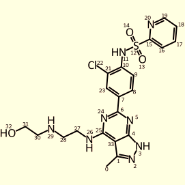 Cc1n[nH]c2nc(-c3ccc(NS(=O)(=O)c4ccccn4)c(Cl)c3)nc(NCCNCCO)c12